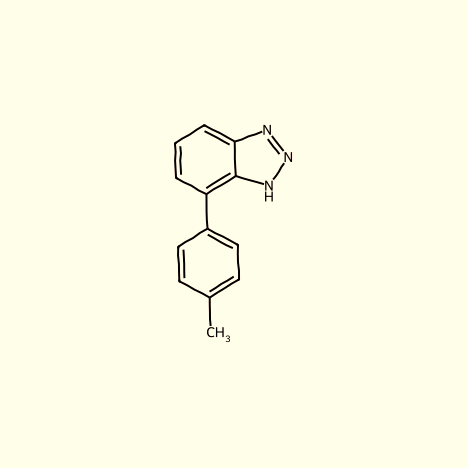 Cc1ccc(-c2cccc3nn[nH]c23)cc1